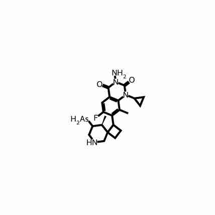 Cc1c(C2CCC23CNCC([AsH2])[C@H]3C)c(F)cc2c(=O)n(N)c(=O)n(C3CC3)c12